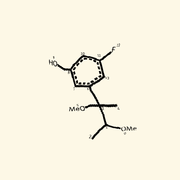 COC(C)C(C)(OC)c1cc(O)cc(F)c1